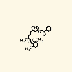 CC(C=C/C=C(/C)C=CC1=C(C)CCCC1(C)C)=CC(=O)OCC(=O)c1ccccc1